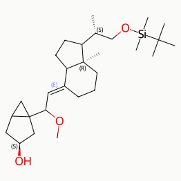 COC(/C=C1\CCC[C@@]2(C)C1CCC2[C@H](C)CO[Si](C)(C)C(C)(C)C)C12CC1C[C@H](O)C2